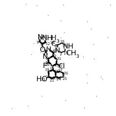 C[C@@H]1CN(c2nc(Oc3cn[nH]c3)nc3c(F)c(-c4cc(O)cc5ccccc45)c(Cl)cc23)[C@@H](C)CN1